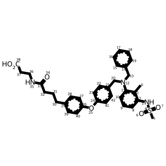 Cc1c(NS(C)(=O)=O)cccc1N(Cc1ccccc1)Cc1ccc(Oc2ccc(CCCC(=O)NCCC(=O)O)cc2)cc1